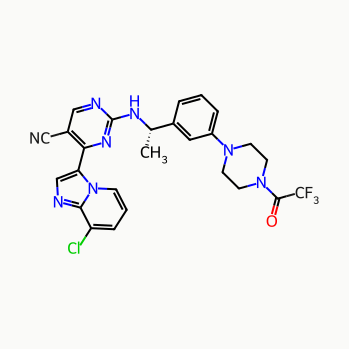 C[C@H](Nc1ncc(C#N)c(-c2cnc3c(Cl)cccn23)n1)c1cccc(N2CCN(C(=O)C(F)(F)F)CC2)c1